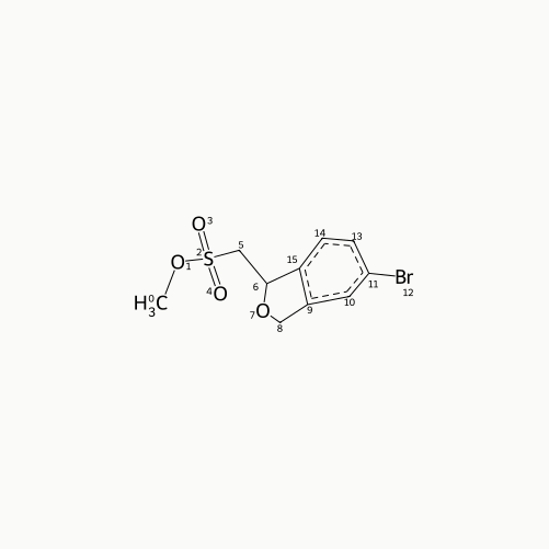 COS(=O)(=O)CC1OCc2cc(Br)ccc21